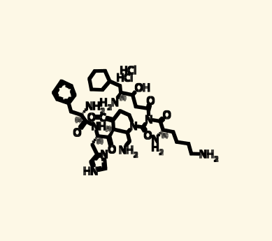 Cl.Cl.NCCCC[C@H](N)C(=O)N(C(=O)CC(O)[C@@H](N)CC1CCCCC1)C(=O)N1CCC(=C=O)[C@H](C(=O)[C@H](Cc2c[nH]cn2)NC(=O)[C@@H](N)Cc2ccccc2)C1CN